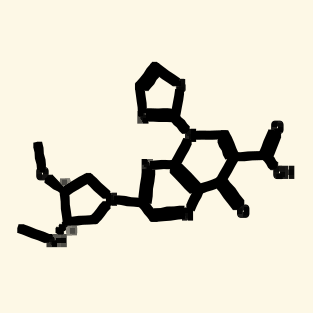 CN[C@H]1CN(c2cnc3c(=O)c(C(=O)O)cn(-c4nccs4)c3n2)C[C@@H]1OC